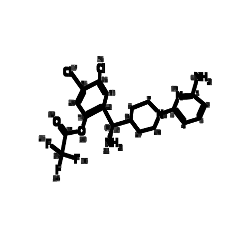 Nc1cccc(N2CCC([C@@H](N)c3cc(Cl)c(Cl)cc3OC(=O)C(F)(F)F)CC2)n1